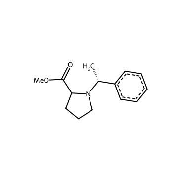 COC(=O)C1CCCN1[C@H](C)c1ccccc1